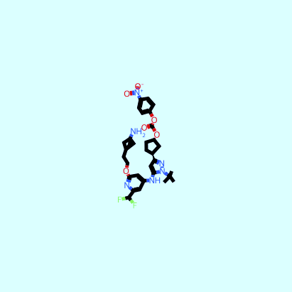 CC(C)(C)n1nc([C@H]2CC[C@@H](OC(=O)Oc3ccc([N+](=O)[O-])cc3)C2)cc1Nc1cc(OCCC23CC(N)(C2)C3)nc(C(F)F)c1